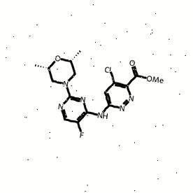 COC(=O)c1nnc(Nc2nc(N3C[C@@H](C)O[C@@H](C)C3)ncc2F)cc1Cl